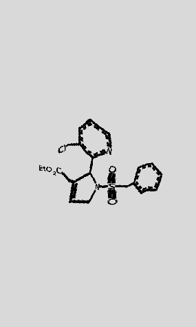 CCOC(=O)C1=CCN(S(=O)(=O)c2ccccc2)C1c1ncccc1Cl